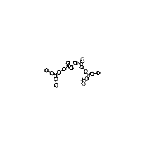 CC1(C)c2ccccc2-c2ccc(N(c3ccc(-c4ccccc4)cc3)c3ccc(-c4ccc5c(c4)c4c(n5-c5cccc(-c6cccc7c6c6ccccc6n7-c6ccc(-c7ccc(N(c8ccc(-c9ccccc9)cc8)c8ccc(-c9ccccc9)cc8)cc7)cc6)c5)CCC=C4)cc3)cc21